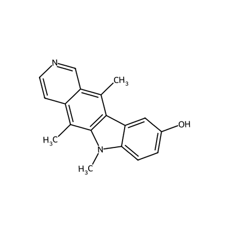 Cc1c2cnccc2c(C)c2c1c1cc(O)ccc1n2C